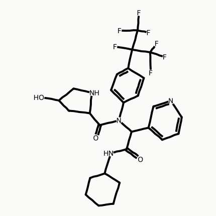 O=C(NC1CCCCC1)C(c1cccnc1)N(C(=O)C1CC(O)CN1)c1ccc(C(F)(C(F)(F)F)C(F)(F)F)cc1